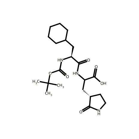 CC(C)(C)OC(=O)N[C@@H](CC1CCCCC1)C(=O)NC(C[C@@H]1CCNC1=O)C(=O)O